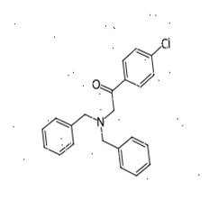 O=C(CN(Cc1ccccc1)Cc1ccccc1)c1ccc(Cl)cc1